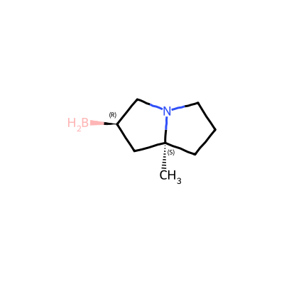 B[C@H]1CN2CCC[C@@]2(C)C1